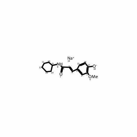 COc1cc(C=CC(=O)NC2CCCCC2)ccc1[O-].[Na+]